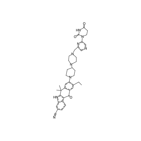 CCc1cc2c(cc1N1CCC(N3CCN(Cc4cncc(N5CCC(=O)NC5=O)n4)CC3)CC1)C(C)(C)c1[nH]c3cc(C#N)ccc3c1C2=O